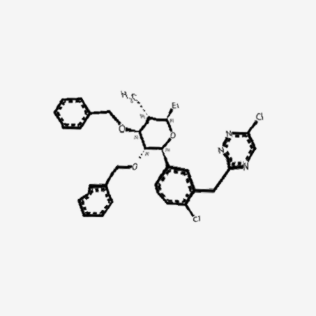 CC[C@H]1O[C@@H](c2ccc(Cl)c(Cc3ncc(Cl)nn3)c2)[C@H](OCc2ccccc2)[C@@H](OCc2ccccc2)[C@@H]1C